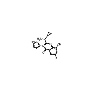 N#Cc1cc(F)cc2c(=O)n(-c3cc[nH]n3)c(C(N)C3CC3)nc12